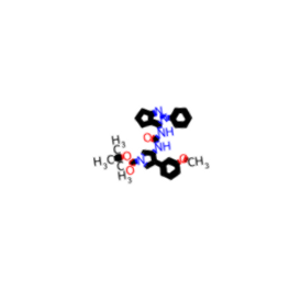 COc1cccc(C2CN(C(=O)OC(C)(C)C)CC2NC(=O)Nc2c3c(nn2-c2ccccc2)CCC3)c1